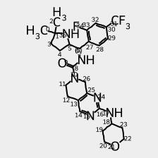 CC1(C)CCC([C@@H](NC(=O)N2CCc3cnc(NC4CCOCC4)nc3C2)c2ccc(C(F)(F)F)cc2F)N1